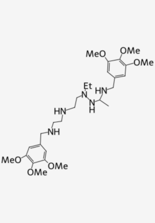 CCN(CCNCCNCc1cc(OC)c(OC)c(OC)c1)NC(C)NCc1cc(OC)c(OC)c(OC)c1